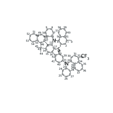 Cc1ccc(N(c2ccccc2)c2c3c(cc4c2sc2cc(N(c5ccccc5)c5ccc(C(F)(F)F)c6ccccc56)ccc24)C(C)(C)c2c-3ccc3ccccc23)c2ccccc12